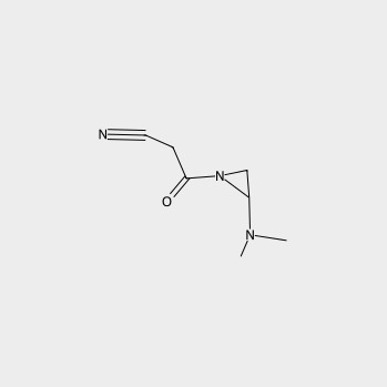 CN(C)C1CN1C(=O)CC#N